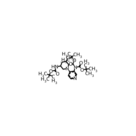 CC1[CH]C(NC(=O)OC(C)(C)C)CN(c2ccncc2N(C(=O)OC(C)(C)C)C(=O)OC(C)(C)C)C1